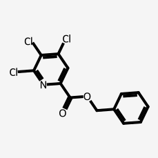 O=C(OCc1ccccc1)c1cc(Cl)c(Cl)c(Cl)n1